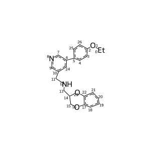 CCOc1ccc(-c2cncc(CNCC3COc4ccccc4O3)c2)cc1